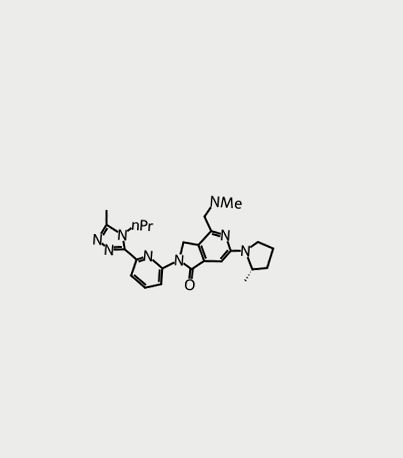 CCCn1c(C)nnc1-c1cccc(N2Cc3c(cc(N4CCC[C@@H]4C)nc3CNC)C2=O)n1